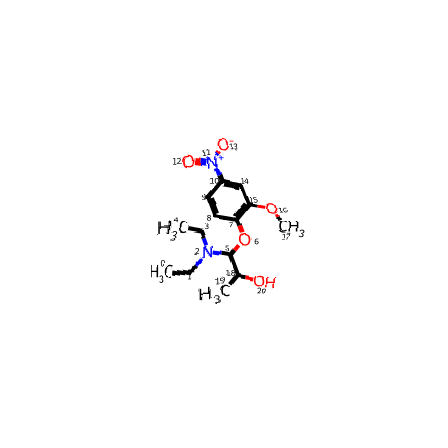 CCN(CC)C(Oc1ccc([N+](=O)[O-])cc1OC)C(C)O